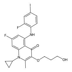 Cc1c(OCCCO)c(=O)c2c(Nc3ccc(I)cc3F)cc(F)cc2n1C1CC1